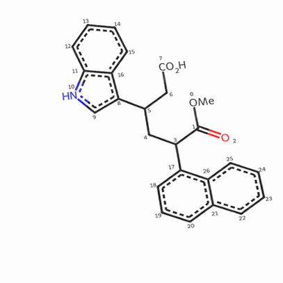 COC(=O)C(CC(CC(=O)O)c1c[nH]c2ccccc12)c1cccc2ccccc12